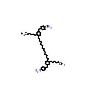 CCCCCCc1cc(Cc2ccc(N)cc2)ccc1CCCCCCCCCCCCCCc1ccc(Cc2ccc(N)cc2)cc1CCCCCC